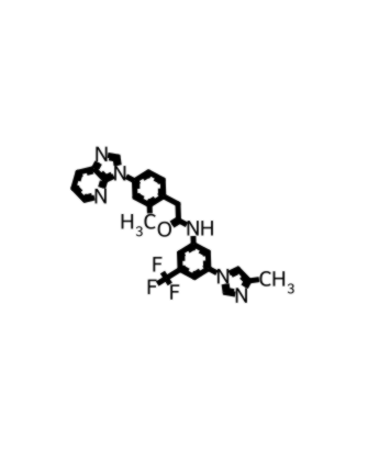 Cc1cn(-c2cc(NC(=O)Cc3ccc(-n4cnc5cccnc54)cc3C)cc(C(F)(F)F)c2)cn1